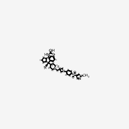 Cn1cc(S(=O)(=O)c2ccc(N3CC(F)(CN4CCC(C(C#N)(c5ccccc5)[C@H]5CCC[C@H]5CNC(=O)O)CC4)C3)cc2)cn1